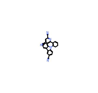 N#Cc1cc(C#N)nc(C2=C(n3c4ccccc4c4cc(C#N)ccc43)CCC=C2)c1